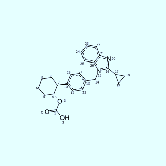 O=C(O)O[C@@H]1CCCC[C@H]1c1ccc(Cn2c(C3CC3)nc3ccccc32)cc1